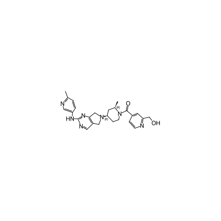 Cc1ccc(Nc2ncc3c(n2)CN([C@@H]2CCN(C(=O)c4ccnc(CO)c4)[C@H](C)C2)C3)cn1